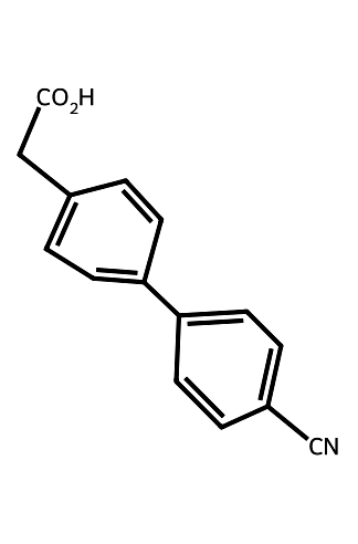 N#Cc1ccc(-c2ccc(CC(=O)O)cc2)cc1